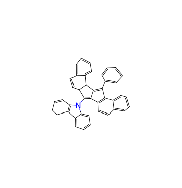 C1=Cc2c(c3ccccc3n2C2=C3C(=C(c4ccccc4)c4c3ccc3ccccc43)C3c4ccccc4C=CC23)CC1